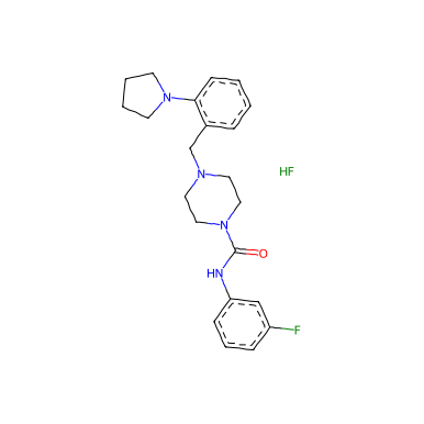 F.O=C(Nc1cccc(F)c1)N1CCN(Cc2ccccc2N2CCCC2)CC1